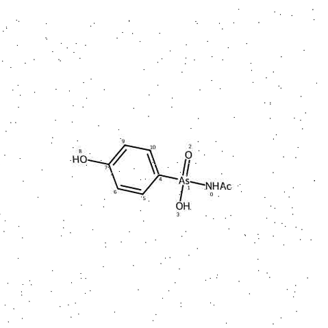 CC(=O)N[As](=O)(O)c1ccc(O)cc1